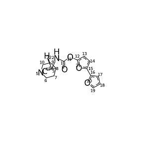 O=C(N[C@H]1CN2CCC1CC2)Oc1ccc(-c2ccco2)o1